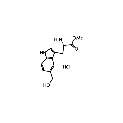 COC(=O)[C@@H](N)Cc1c[nH]c2ccc(CO)cc12.Cl